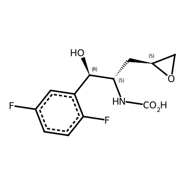 O=C(O)N[C@@H](C[C@H]1CO1)[C@H](O)c1cc(F)ccc1F